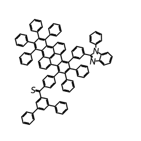 S=C(c1ccc(-c2c(-c3ccccc3)c(-c3ccccc3)c(-c3cccc(-c4nc5ccccc5n4-c4ccccc4)c3)c3c4cccc5c6c(-c7ccccc7)c(-c7ccccc7)c(-c7ccccc7)c(-c7ccccc7)c6c6cccc(c23)c6c54)cc1)c1cc(-c2ccccc2)cc(-c2ccccc2)c1